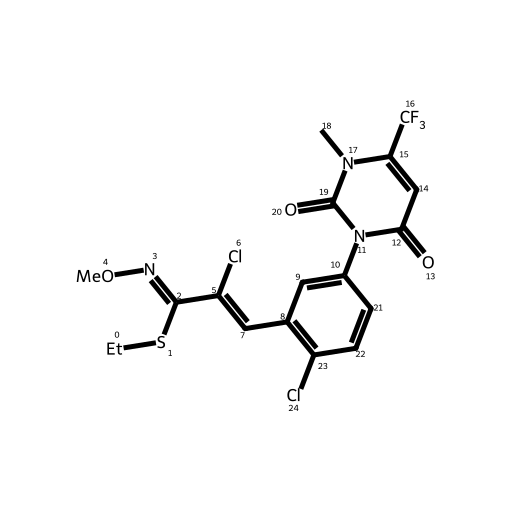 CCSC(=NOC)C(Cl)=Cc1cc(-n2c(=O)cc(C(F)(F)F)n(C)c2=O)ccc1Cl